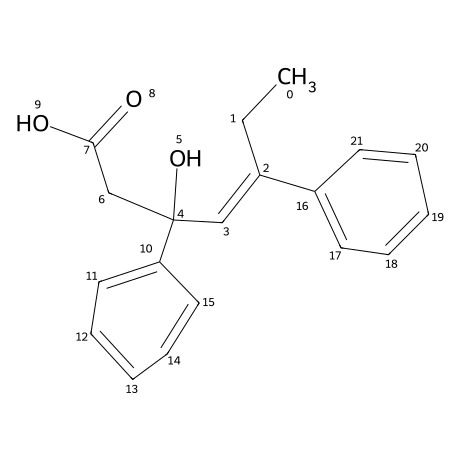 CC/C(=C\C(O)(CC(=O)O)c1ccccc1)c1ccccc1